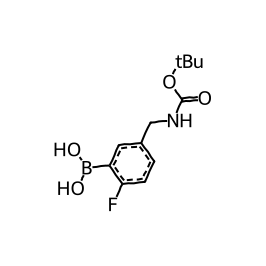 CC(C)(C)OC(=O)NCc1ccc(F)c(B(O)O)c1